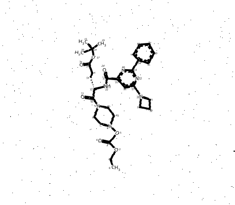 CCOC(=O)ON1CCN(C(=O)[C@H](CCC(=O)OC(C)(C)C)NC(=O)c2cc(N3CCC3)nc(-c3ccccc3)n2)CC1